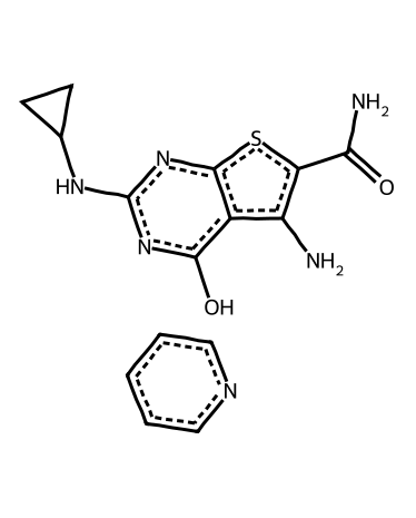 NC(=O)c1sc2nc(NC3CC3)nc(O)c2c1N.c1ccncc1